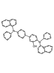 Oc1cc(-c2ccc(N(c3ccccc3)c3cccc4ccccc34)cc2)ccc1N(c1ccccc1)c1cccc2ccccc12